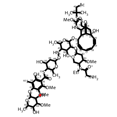 CCN(C(=O)CN)C1COC(OC2C(O[C@H]3C#C/C=C\C#C[C@]4(O)CC(=O)C(NC(=O)OC)C3/C4=C\CSSC(C)(C)CC(C)=O)OC(C)C(NOC3CC(O)C(SC(=O)c4c(C)c(I)c(OC5OC(C)C(O)C(OC)C5O)c(OC)c4OC)C(C)O3)C2O)CC1OC